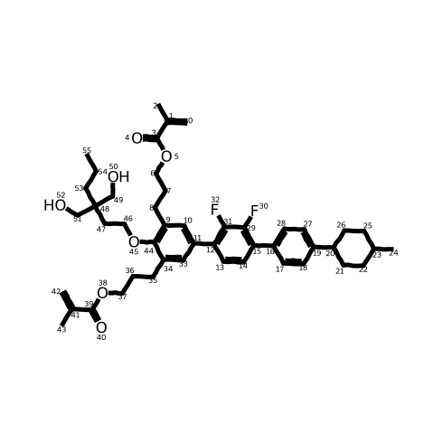 C=C(C)C(=O)OCCCc1cc(-c2ccc(-c3ccc(C4CCC(C)CC4)cc3)c(F)c2F)cc(CCCOC(=O)C(=C)C)c1OCCC(CO)(CO)CCC